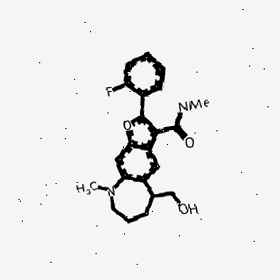 CNC(=O)c1c(-c2ccccc2F)oc2cc3c(cc12)C(CO)CCCN3C